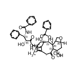 CC1=C2[CH]C(=O)[C@]3(C)[C@@H](O)C[C@H]4OC[C]4[C@H]3[C@H](OC(=O)c3ccccc3)[C@](O)(C[C@@H]1OC(=O)[C@H](O)[C@@H](NC(=O)c1ccccc1)c1ccccc1)C2(C)C